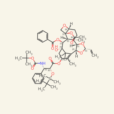 C=C[C@@H]1O[C@@H]2C3=C(C)[C@@H](OC(=O)[C@H](O[Si](C)(C)C(C)(C)C)[C@@H](NC(=O)OC(C)(C)C)c4ccccc4)C[C@@](O)([C@@H](OC(=O)c4ccccc4)[C@H]4[C@@](C)(CC[C@H]5OC[C@]54OC(C)=O)[C@@H]2O1)C3(C)C